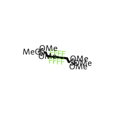 CO[Si](CCC(F)(F)C(F)(F)C(F)(F)C(F)(F)CC[Si](OC)(OC)OC)(OC)OC